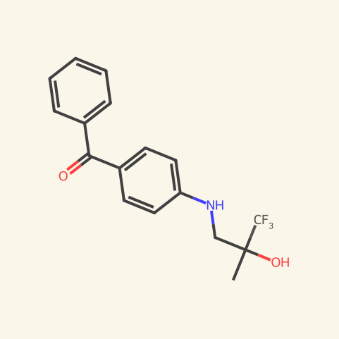 CC(O)(CNc1ccc(C(=O)c2ccccc2)cc1)C(F)(F)F